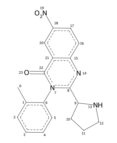 Cc1ccccc1-n1c(C2CCCN2)nc2ccc([N+](=O)[O-])cc2c1=O